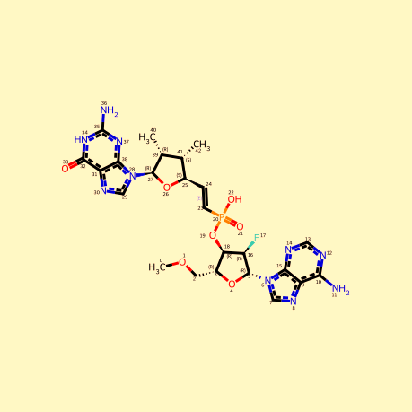 COC[C@H]1O[C@@H](n2cnc3c(N)ncnc32)[C@H](F)[C@@H]1OP(=O)(O)/C=C/[C@H]1O[C@@H](n2cnc3c(=O)[nH]c(N)nc32)[C@H](C)[C@@H]1C